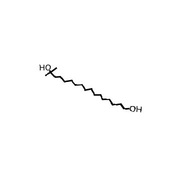 CC(C)(O)CCCCCCCCCCCCCCCO